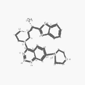 O[C@H](c1nc2ccccc2s1)[C@H]1CCCN(c2nnnc3cc(N4CCOCC4)ccc23)C1